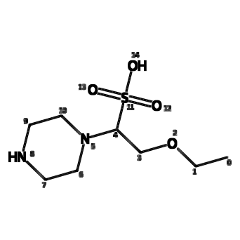 CCOCC(N1CCNCC1)S(=O)(=O)O